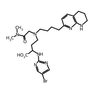 CN(C)C(=O)CN(CCCCc1ccc2c(n1)NCCC2)CCC(Nc1ncc(Br)cn1)C(=O)O